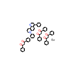 C1=Cc2c(ccc3c(-c4ccccc4)ccnc23)N(c2ccccc2)C1.O=C(CC(=O)c1ccccc1)c1ccccc1.O=C(CC(=O)c1ccccc1)c1ccccc1.O=C(CC(=O)c1ccccc1)c1ccccc1.[Eu]